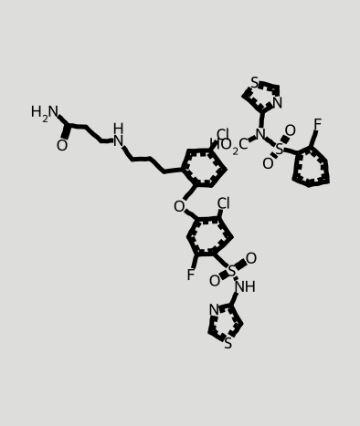 NC(=O)CCNCCCc1cc(Cl)ccc1Oc1cc(F)c(S(=O)(=O)Nc2cscn2)cc1Cl.O=C(O)N(c1cscn1)S(=O)(=O)c1ccccc1F